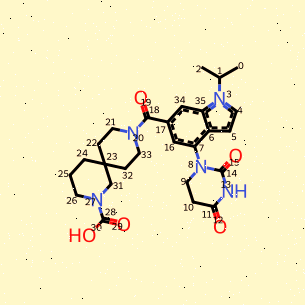 CC(C)n1ccc2c(N3CCC(=O)NC3=O)cc(C(=O)N3CCC4(CCCN(C(=O)O)C4)CC3)cc21